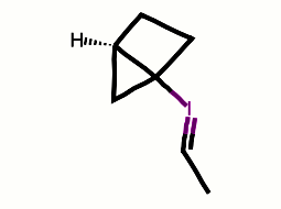 C/C=I/C12CC[C@@H]1C2